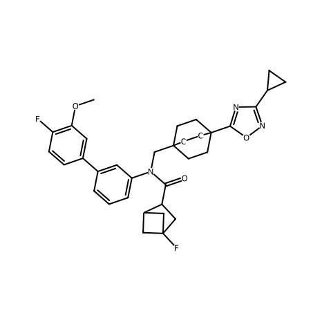 COc1cc(-c2cccc(N(CC34CCC(c5nc(C6CC6)no5)(CC3)CC4)C(=O)C3CC4(F)CC3C4)c2)ccc1F